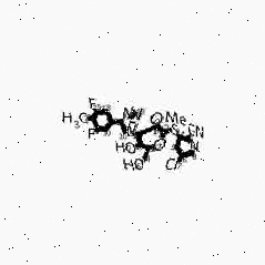 COC1C(Sc2cc(Cl)cnc2C#N)OC(CO)C(O)C1n1cc(-c2cc(F)c(C)c(F)c2)nn1